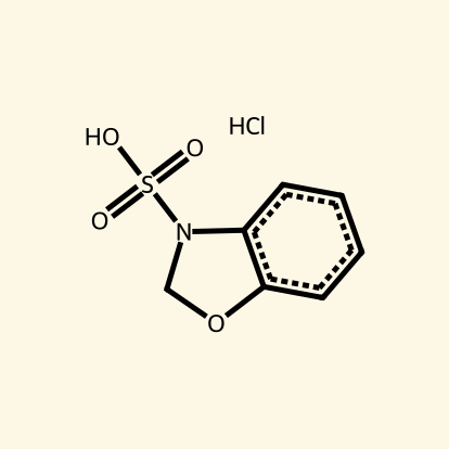 Cl.O=S(=O)(O)N1COc2ccccc21